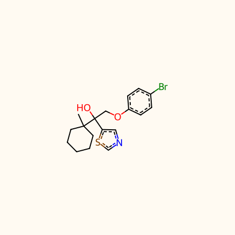 CC1(C(O)(COc2ccc(Br)cc2)c2cncs2)CCCCC1